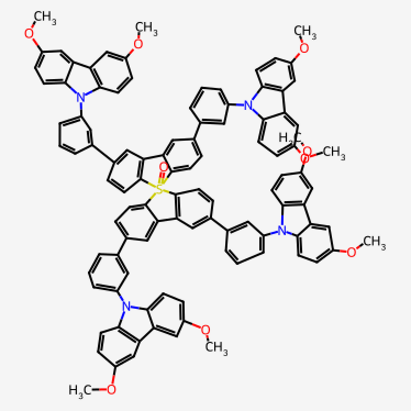 COc1ccc2c(c1)c1cc(OC)ccc1n2-c1cccc(-c2ccc3c(c2)-c2cc(-c4cccc(-n5c6ccc(OC)cc6c6cc(OC)ccc65)c4)ccc2S32(=O)c3ccc(-c4cccc(-n5c6ccc(OC)cc6c6cc(OC)ccc65)c4)cc3-c3cc(-c4cccc(-n5c6ccc(OC)cc6c6cc(OC)ccc65)c4)ccc32)c1